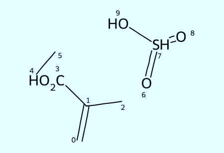 C=C(C)C(=O)O.CC.O=[SH](=O)O